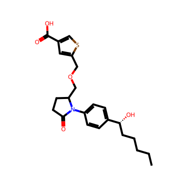 CCCCC[C@@H](O)c1ccc(N2C(=O)CCC2COCc2cc(C(=O)O)cs2)cc1